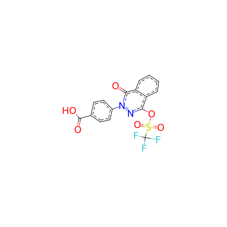 O=C(O)c1ccc(-n2nc(OS(=O)(=O)C(F)(F)F)c3ccccc3c2=O)cc1